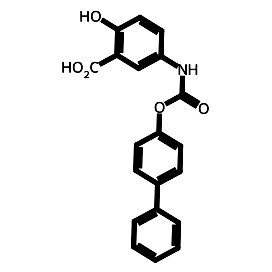 O=C(Nc1ccc(O)c(C(=O)O)c1)Oc1ccc(-c2ccccc2)cc1